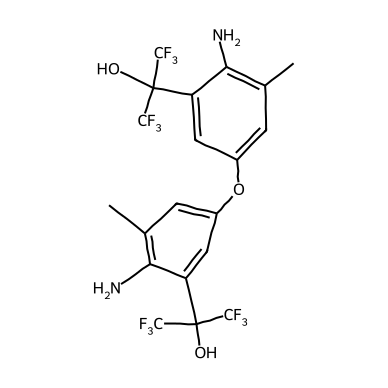 Cc1cc(Oc2cc(C)c(N)c(C(O)(C(F)(F)F)C(F)(F)F)c2)cc(C(O)(C(F)(F)F)C(F)(F)F)c1N